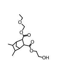 CCOCOC(=O)C1C2CC(C(C)C2C)C1C(=O)OCCO